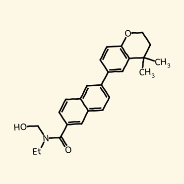 CCN(CO)C(=O)c1ccc2cc(-c3ccc4c(c3)C(C)(C)CCO4)ccc2c1